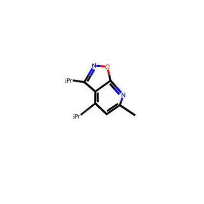 Cc1cc(C(C)C)c2c(C(C)C)noc2n1